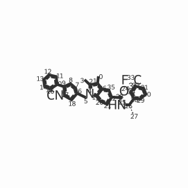 Cc1c(C)n(Cc2ccc(-c3ccccc3C#N)cc2)c2ccc(C(=O)N[C@@H](C)c3cccc(C(F)(F)F)c3)cc12